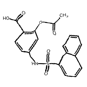 CC(=O)Oc1cc(NS(=O)(=O)c2cccc3ccccc23)ccc1C(=O)O